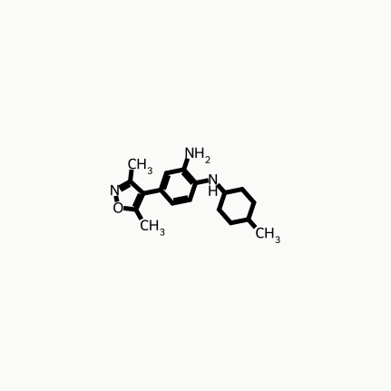 Cc1noc(C)c1-c1ccc(NC2CCC(C)CC2)c(N)c1